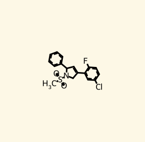 CS(=O)(=O)N1CC(c2cc(Cl)ccc2F)=CC1c1ccccc1